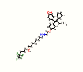 CC/C(=C(/c1ccc(O)cc1)c1ccc(OCCNCCCCCCCC[S+]([O-])CCCC(F)(F)C(F)(F)F)cc1)c1ccccc1